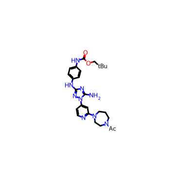 CC(=O)N1CCCN(c2cc(-n3nc(Nc4ccc(NC(=O)OCC(C)(C)C)cc4)nc3N)ccn2)CC1